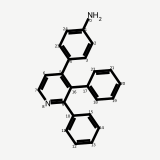 Nc1ccc(-c2ccnc(-c3ccccc3)c2-c2ccccc2)cc1